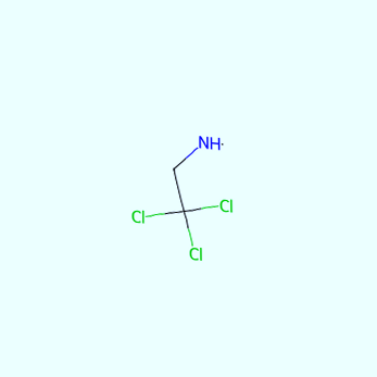 [NH]CC(Cl)(Cl)Cl